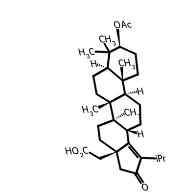 CC(=O)O[C@H]1CC[C@]2(C)[C@H]3CC[C@@H]4C5=C(C(C)C)C(=O)C[C@]5(CC(=O)O)CC[C@@]4(C)[C@]3(C)CC[C@H]2C1(C)C